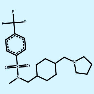 CN(CC1CCC(CN2CCCC2)CC1)S(=O)(=O)c1ccc(C(F)(F)F)cc1